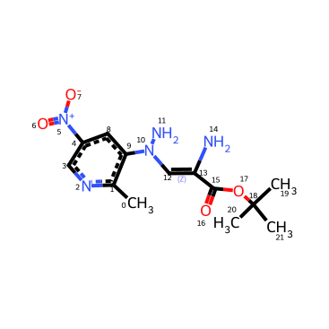 Cc1ncc([N+](=O)[O-])cc1N(N)/C=C(\N)C(=O)OC(C)(C)C